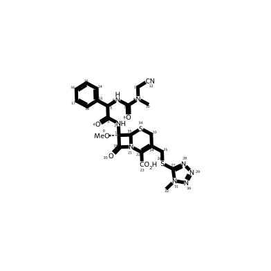 CO[C@@]1(NC(=O)C(NC(=O)N(C)CC#N)c2ccccc2)C(=O)N2C(C(=O)O)=C(CSc3nnnn3C)CSC21